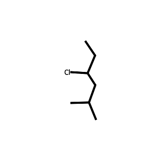 CCC(Cl)CC(C)C